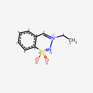 CC[N+]1=Cc2ccccc2S(=O)([O-])=N1